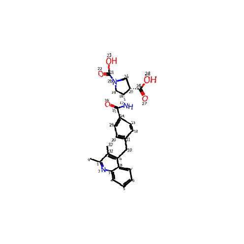 Cc1nc2ccccc2c(Cc2ccc(C(=O)N[C@@H]3CN(C(=O)O)C[C@@H]3C(=O)O)cc2)c1C